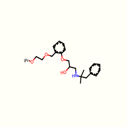 CC(C)OCCOCc1ccccc1OCC(O)CNC(C)(C)Cc1ccccc1